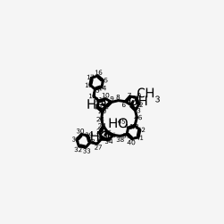 Cc1cc2c(O)c(c1)Cc1cc(Cc3ccccc3)cc(c1O)Cc1cc(Cc3ccccc3)cc(c1O)Cc1cccc(c1O)C2